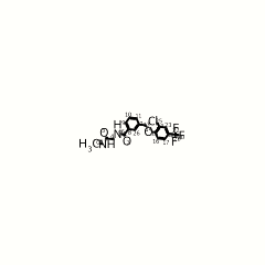 CNC(=O)CNC(=O)c1cccc(COc2ccc(C(F)(F)F)cc2Cl)c1